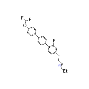 CC/C=C/CCc1ccc(-c2ccc(-c3ccc(OC(F)F)cc3)cc2)c(F)c1